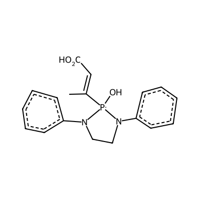 CC(=CC(=O)O)[P]1(O)N(c2ccccc2)CCN1c1ccccc1